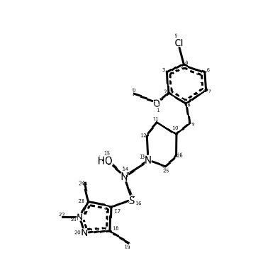 COc1cc(Cl)ccc1CC1CCN(N(O)Sc2c(C)nn(C)c2C)CC1